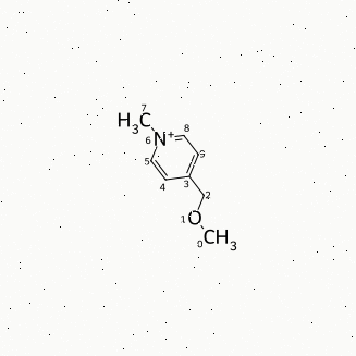 COCc1cc[n+](C)cc1